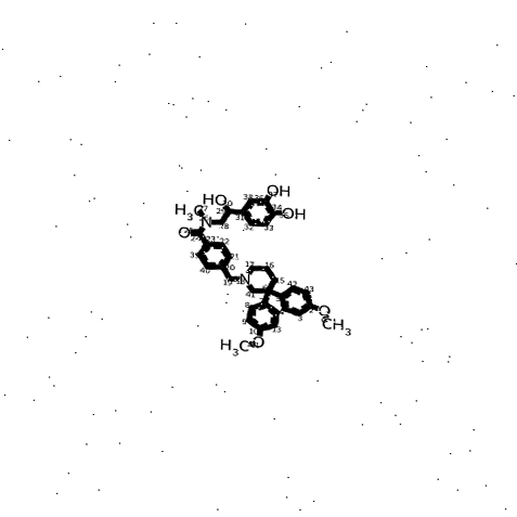 COc1ccc(C2(c3ccc(OC)cc3)CCCN(Cc3ccc(C(=O)N(C)CC(O)c4ccc(O)c(O)c4)cc3)C2)cc1